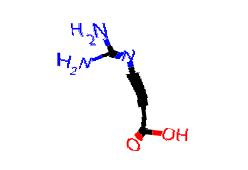 NC(N)=NC#CC(=O)O